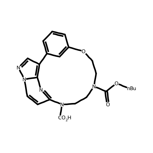 CCCCOC(=O)N1CCOc2cccc(c2)-c2cnn3ccc(nc23)N(C(=O)O)CC1